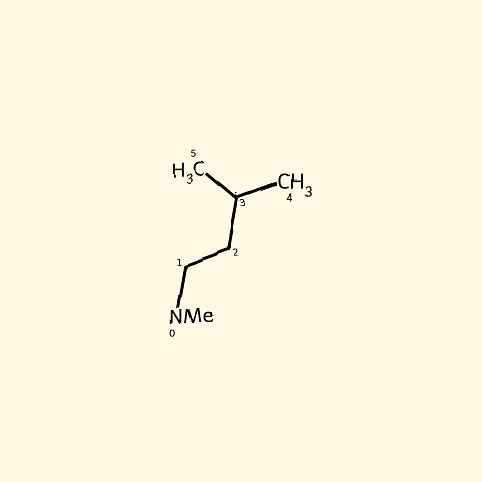 CNCC[C](C)C